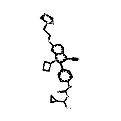 CC(OC(=O)Nc1ccc(-c2c(C#N)c3ccc(SCCn4cncn4)cc3n2C2CCC2)cc1)C1CC1